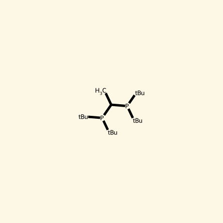 CC(P(C(C)(C)C)C(C)(C)C)P(C(C)(C)C)C(C)(C)C